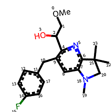 COCC(O)c1nc2c(cc1Cc1ccc(F)cc1)N(C)CC2(C)C